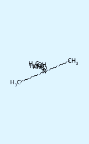 CCCCCCCCCCCCCCCCN(CCCCCCCCCCCCCCCC)C(=O)CC(=O)NC(C)(O)O